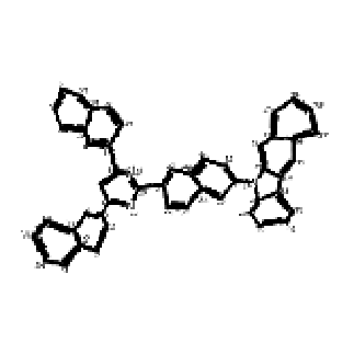 c1ccc2cc(-c3cc(-c4ccc5ccccc5c4)nc(-c4ccc5cc(-n6c7ccccc7c7cc8ccccc8cc76)ccc5c4)n3)ccc2c1